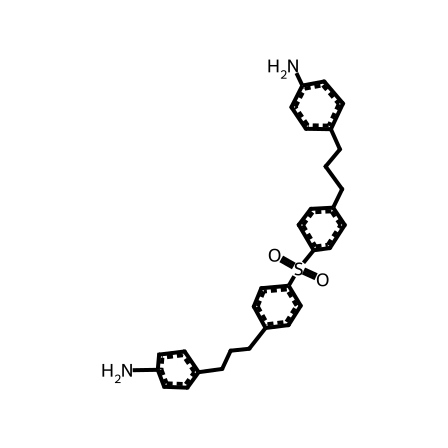 Nc1ccc(CCCc2ccc(S(=O)(=O)c3ccc(CCCc4ccc(N)cc4)cc3)cc2)cc1